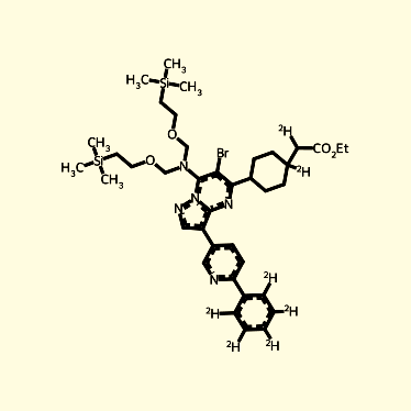 [2H]c1c([2H])c([2H])c(-c2ccc(-c3cnn4c(N(COCC[Si](C)(C)C)COCC[Si](C)(C)C)c(Br)c(C5CCC([2H])(C([2H])C(=O)OCC)CC5)nc34)cn2)c([2H])c1[2H]